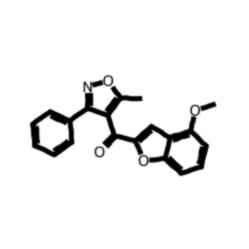 COc1cccc2oc(C(=O)c3c(-c4ccccc4)noc3C)cc12